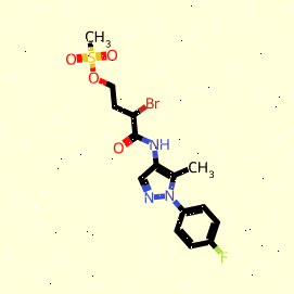 Cc1c(NC(=O)C(Br)CCOS(C)(=O)=O)cnn1-c1ccc(F)cc1